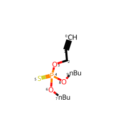 C#CCOP(=S)(OCCCC)OCCCC